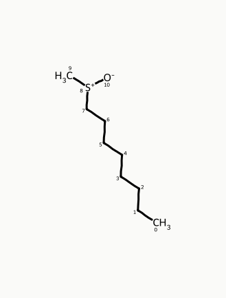 CCCCCCCC[S+](C)[O-]